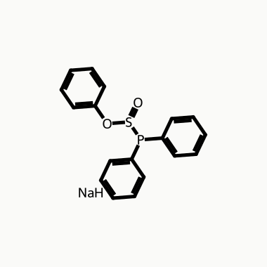 O=S(Oc1ccccc1)P(c1ccccc1)c1ccccc1.[NaH]